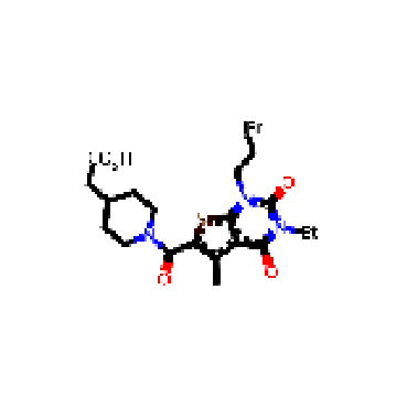 CCn1c(=O)c2c(C)c(C(=O)N3CCC(CC(=O)O)CC3)sc2n(CCC(C)C)c1=O